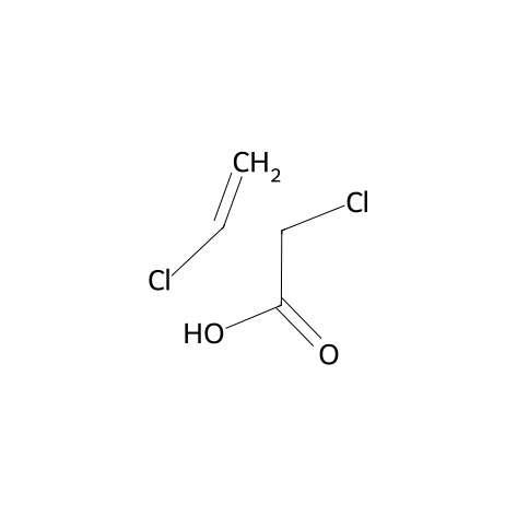 C=CCl.O=C(O)CCl